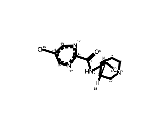 O=C(N[C@H]1CN2CCC1CC2)c1ncc(Cl)cn1